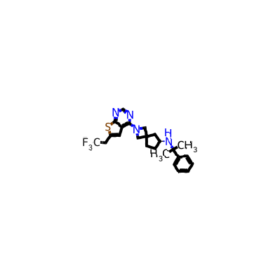 CC(C)(N[C@@H]1CCC2(C1)CN(c1ncnc3sc(CC(F)(F)F)cc13)C2)c1ccccc1